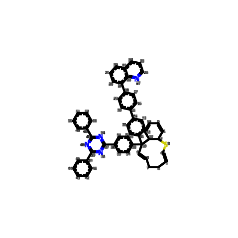 C1=CC2S/C=C/CC/C=C/C(c3ccc(-c4ccc(-c5cccc6cccnc56)cc4)cc3)(c3ccc(-c4nc(-c5ccccc5)nc(-c5ccccc5)n4)cc3)C2C=C1